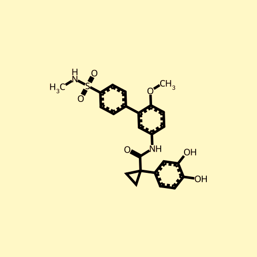 CNS(=O)(=O)c1ccc(-c2cc(NC(=O)C3(c4ccc(O)c(O)c4)CC3)ccc2OC)cc1